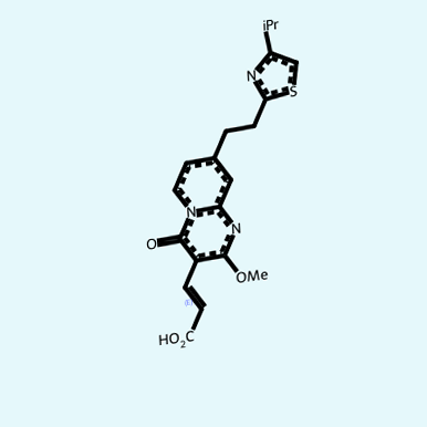 COc1nc2cc(CCc3nc(C(C)C)cs3)ccn2c(=O)c1/C=C/C(=O)O